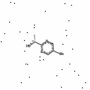 C[C@@H](O)c1ncc(C(C)(C)C)cn1